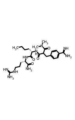 CCCC[C@H](NC(=O)C(Cc1ccc(C(=N)N)cc1)C(=O)N(C)C)C(=O)N[C@@H](CCCNC(=N)N)C(N)=O